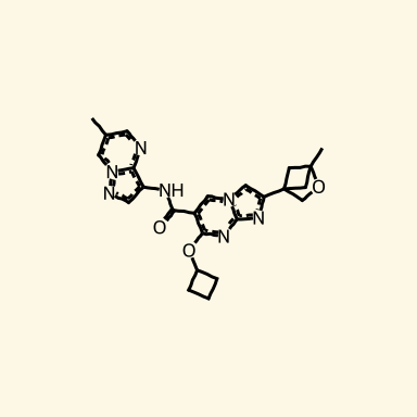 Cc1cnc2c(NC(=O)c3cn4cc(C56COC(C)(C5)C6)nc4nc3OC3CCC3)cnn2c1